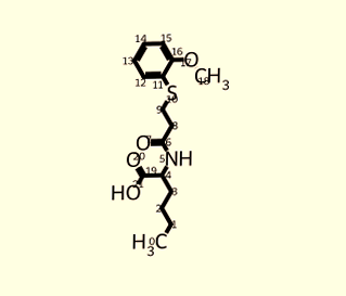 CCCCC(NC(=O)CCSc1ccccc1OC)C(=O)O